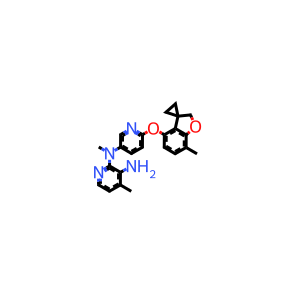 Cc1ccnc(N(C)c2ccc(Oc3ccc(C)c4c3C3(CC3)CO4)nc2)c1N